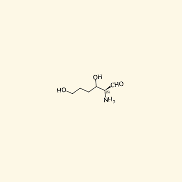 N[C@H](C=O)C(O)CCCO